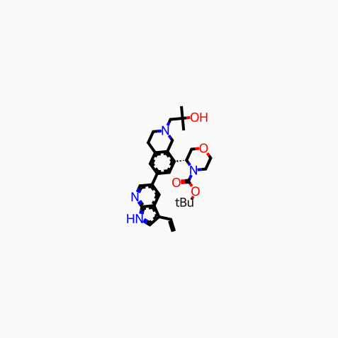 C=Cc1c[nH]c2ncc(-c3cc4c(c([C@@H]5COCCN5C(=O)OC(C)(C)C)c3)CN(CC(C)(C)O)CC4)cc12